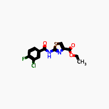 CCOC(=O)c1csc(NC(=O)c2ccc(F)c(Cl)c2)n1